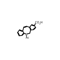 CC(=O)N1Cc2ccc(C(=O)O)cc2/C=C\c2ccccc21